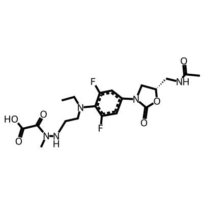 CCN(CCNN(C)C(=O)C(=O)O)c1c(F)cc(N2C[C@H](CNC(C)=O)OC2=O)cc1F